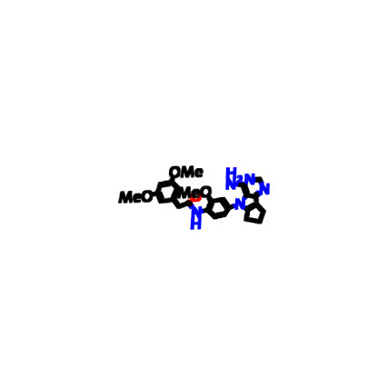 COc1cc(CC(=O)Nc2ccc(-n3c4c(c5ncnc(N)c53)CCC4)cc2OC)cc(OC)c1